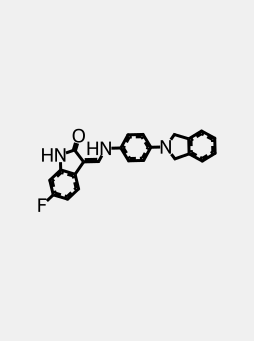 O=C1Nc2cc(F)ccc2C1=CNc1ccc(N2Cc3ccccc3C2)cc1